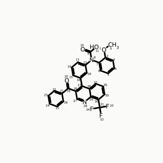 COc1ccccc1N(C(=O)O)c1cccc(-c2c(C(=O)c3ccccc3)cnc3c(C(F)(F)F)cccc23)c1